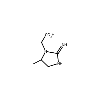 CC1CNC(=N)N1CC(=O)O